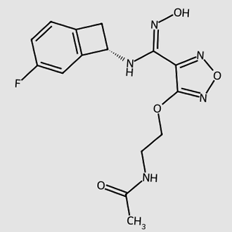 CC(=O)NCCOc1nonc1/C(=N\O)N[C@H]1Cc2ccc(F)cc21